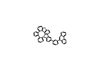 c1cc(-c2ccc3c(c2)c2ccc4sc5cccc6c7ccccc7c7ccccc7n3c2c4c56)cc(-c2cc3ccccc3c3ccccc23)c1